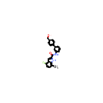 Cc1ccc(F)c2cc(C(=O)Nc3cccc(-c4ccc(CO)cc4)c3)[nH]c12